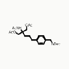 CCCCCCCCCCCc1ccc(CCCC(COC(C)=O)(COC(C)=O)NC(C)=O)cc1